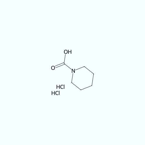 Cl.Cl.O=C(O)N1CCCCC1